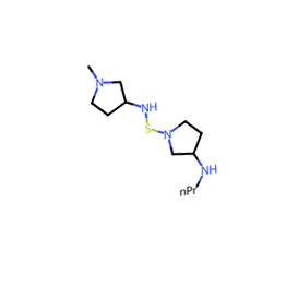 CCCNC1CCN(SNC2CCN(C)C2)C1